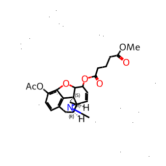 COC(=O)CCCC(=O)OC1C=C[C@H]2[C@H]3Cc4ccc(OC(C)=O)c5c4[C@@]2(CCN3C)C1O5